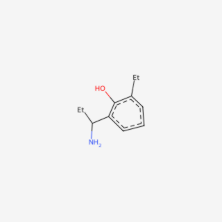 CCc1cccc(C(N)CC)c1O